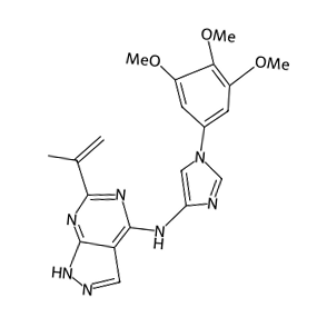 C=C(C)c1nc(Nc2cn(-c3cc(OC)c(OC)c(OC)c3)cn2)c2cn[nH]c2n1